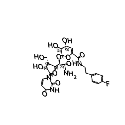 NC(=O)[C@H](O[C@H]1OC(C(=O)NCCc2ccc(F)cc2)=C[C@H](O)[C@@H]1O)[C@H]1O[C@@H](n2ccc(=O)[nH]c2=O)[C@H](O)[C@@H]1CO